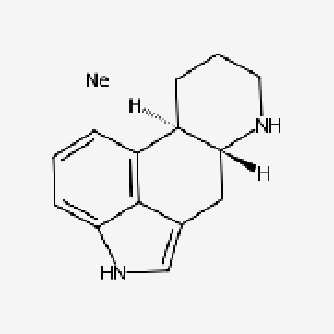 [Ne].c1cc2c3c(c[nH]c3c1)C[C@H]1NCCC[C@H]21